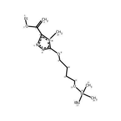 C=C(OCC)c1nnc(OCCCCO[Si](C)(C)C(C)(C)C)n1C